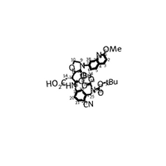 COc1ccc2ccc(N3CCO[C@H]([C@@H](CC(=O)O)C(=O)Nc4ccc(C#N)c(CN(C(=O)OC(C)(C)C)C(=O)OC(C)(C)C)c4)C3=O)cc2n1